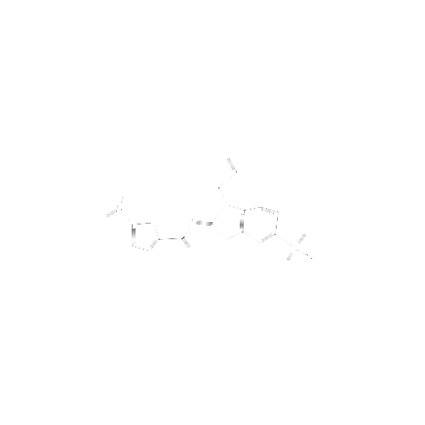 C=CCn1/c(=N/C(=O)c2ccc([N+](=O)[O-])o2)sc2cc(S(N)(=O)=O)ccc21